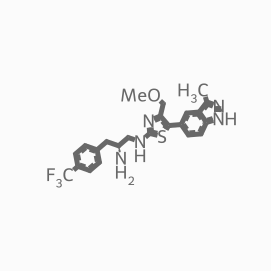 COCc1nc(NC[C@H](N)Cc2ccc(C(F)(F)F)cc2)sc1-c1ccc2[nH]nc(C)c2c1